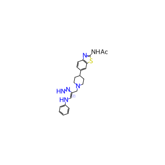 CC(=O)Nc1nc2ccc(C3CCN(C/C(=C/Nc4ccccc4)N=N)CC3)cc2s1